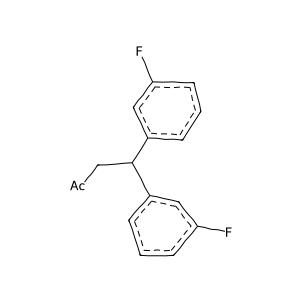 CC(=O)CC(c1cccc(F)c1)c1cccc(F)c1